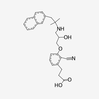 CC(C)(Cc1ccc2ccccc2c1)NCC(O)COc1cccc(CCC(=O)O)c1C#N